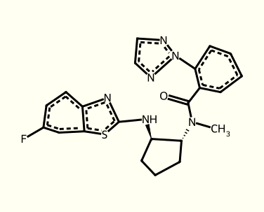 CN(C(=O)c1ccccc1-n1nccn1)[C@@H]1CCC[C@H]1Nc1nc2ccc(F)cc2s1